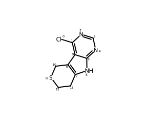 Clc1ncnc2[nH]c3c(c12)CSCC3